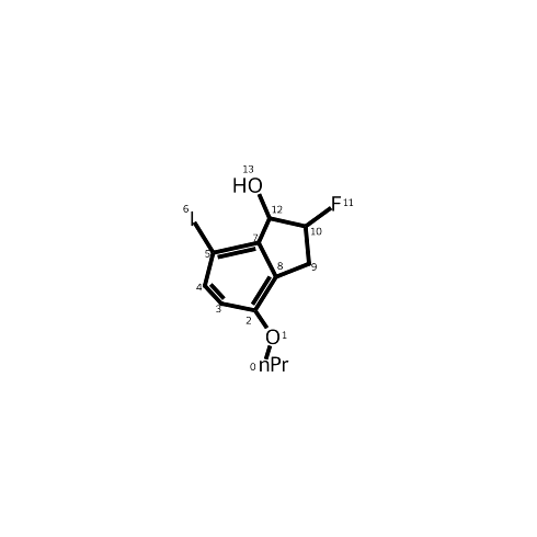 CCCOc1ccc(I)c2c1CC(F)C2O